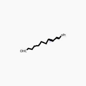 CCCC=C/C=C/CCCCCCC=O